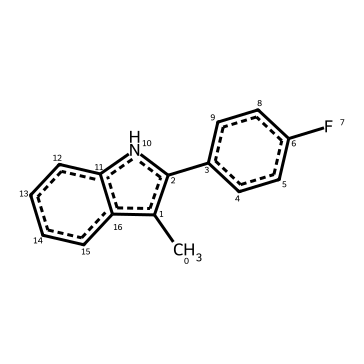 Cc1c(-c2ccc(F)cc2)[nH]c2ccccc12